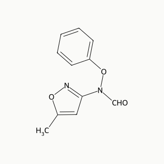 Cc1cc(N(C=O)Oc2ccccc2)no1